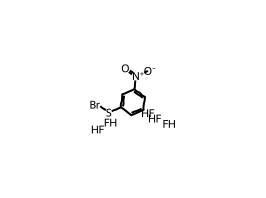 F.F.F.F.F.O=[N+]([O-])c1cccc(SBr)c1